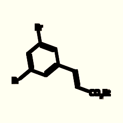 CCOC(=O)/C=C/c1cc(Br)cc(Br)c1